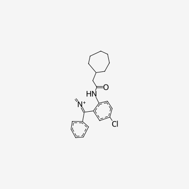 C=[N+]=C(c1ccccc1)c1cc(Cl)ccc1NC(=O)CC1CCCCCC1